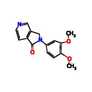 COc1ccc(N2Cc3cnccc3C2=O)cc1OC